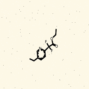 CCOC(=O)C(F)(F)c1ccc(CC)cn1